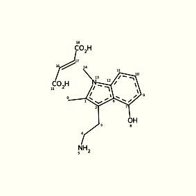 Cc1c(CCN)c2c(O)cccc2n1C.O=C(O)/C=C/C(=O)O